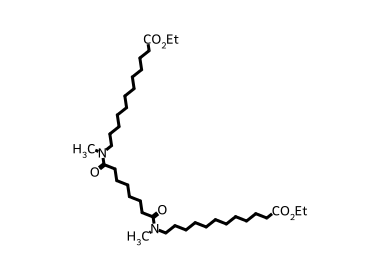 CCOC(=O)CCCCCCCCCCCN(C)C(=O)CCCCCCC(=O)N(C)CCCCCCCCCCCC(=O)OCC